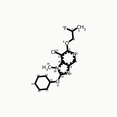 CC(F)COc1ncc2nc(OC3CCCCC3)n(C)c2c1Cl